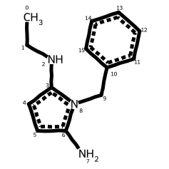 CCNc1ccc(N)n1Cc1ccccc1